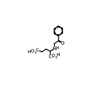 O=C(O)CCC(NCC(=O)c1ccccc1)C(=O)O